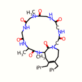 CC(C)CC1=C(CC(C)C)CC2C(=O)N(CC1)CC(=O)NCC(=O)NCC(=O)N(C)CC(=O)NCC(=O)NC(C)C(=O)N2C